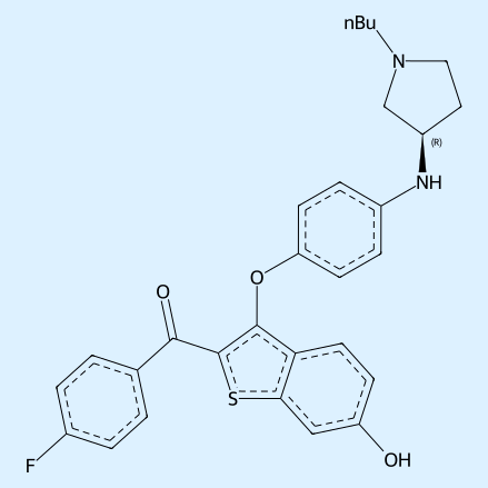 CCCCN1CC[C@@H](Nc2ccc(Oc3c(C(=O)c4ccc(F)cc4)sc4cc(O)ccc34)cc2)C1